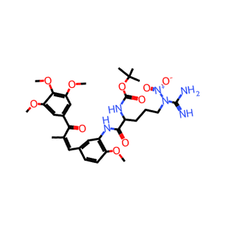 COc1ccc(C=C(C)C(=O)c2cc(OC)c(OC)c(OC)c2)cc1NC(=O)C(CCCN(C(=N)N)[N+](=O)[O-])NC(=O)OC(C)(C)C